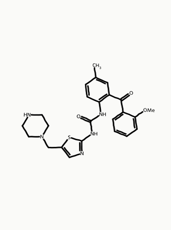 COc1ccccc1C(=O)c1cc(C)ccc1NC(=O)Nc1ncc(CN2CCNCC2)s1